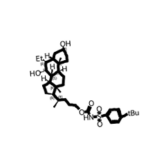 CC[C@H]1[C@@H](O)[C@@H]2[C@H](CC[C@]3(C)[C@@H]([C@H](C)CCCOC(=O)NS(=O)(=O)c4ccc(C(C)(C)C)cc4)CC[C@@H]23)[C@@]2(C)CC[C@@H](O)C[C@@H]12